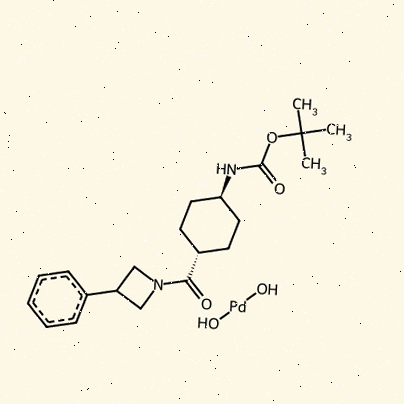 CC(C)(C)OC(=O)N[C@H]1CC[C@H](C(=O)N2CC(c3ccccc3)C2)CC1.[OH][Pd][OH]